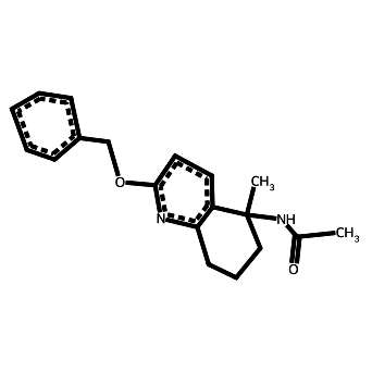 CC(=O)NC1(C)CCCc2nc(OCc3ccccc3)ccc21